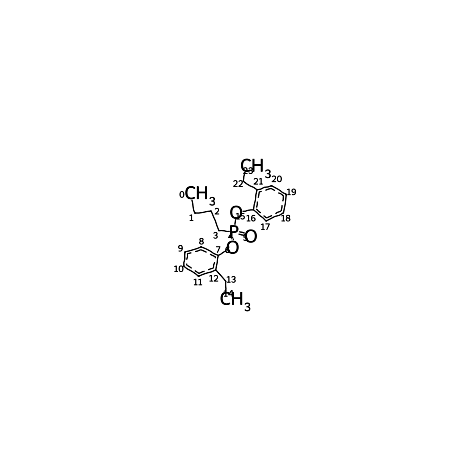 CCCCP(=O)(Oc1ccccc1CC)Oc1ccccc1CC